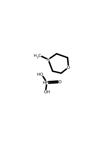 CN1CCOCC1.O=[PH](O)O